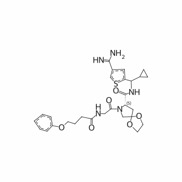 N=C(N)c1csc(C(NC(=O)[C@@H]2CC3(CN2C(=O)CNC(=O)CCCOc2ccccc2)OCCO3)C2CC2)c1